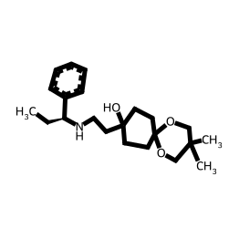 CC[C@H](NCCC1(O)CCC2(CC1)OCC(C)(C)CO2)c1ccccc1